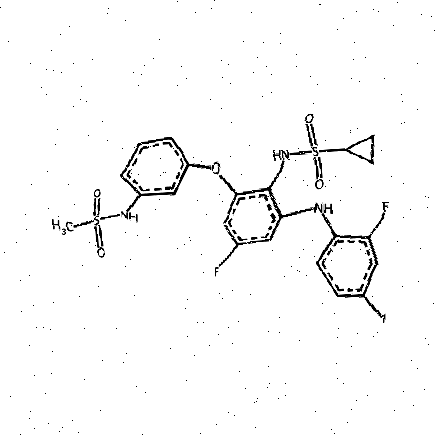 CS(=O)(=O)Nc1cccc(Oc2cc(F)cc(Nc3ccc(I)cc3F)c2NS(=O)(=O)C2CC2)c1